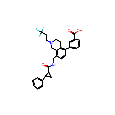 O=C(O)c1cccc(-c2ccc(CNC(=O)C3CC3c3ccccc3)c3c2CCN(CCC(F)(F)F)C3)c1